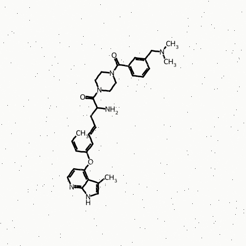 C\C=C/C(=C\C=C\CC(N)C(=O)N1CCN(C(=O)c2cccc(CN(C)C)c2)CC1)Oc1ccnc2[nH]cc(C)c12